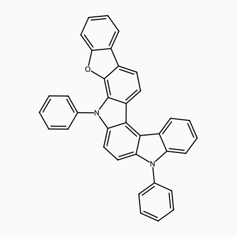 c1ccc(-n2c3ccccc3c3c4c5ccc6c7ccccc7oc6c5n(-c5ccccc5)c4ccc32)cc1